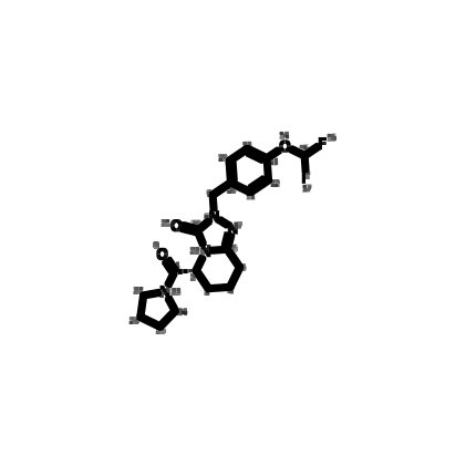 O=C([C@H]1CCCc2nn(Cc3ccc(OC(F)F)cc3)c(=O)n21)N1CCCC1